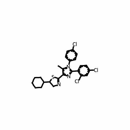 Cc1c(C2=NCC(C3CCCCC3)S2)nc(-c2ccc(Cl)cc2Cl)n1-c1ccc(Cl)cc1